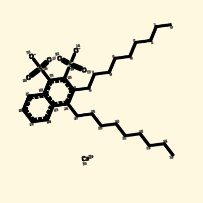 CCCCCCCCCc1c(S(=O)(=O)[O-])c(S(=O)(=O)[O-])c2ccccc2c1CCCCCCCCC.[Ca+2]